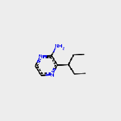 CCC(CC)c1nccnc1N